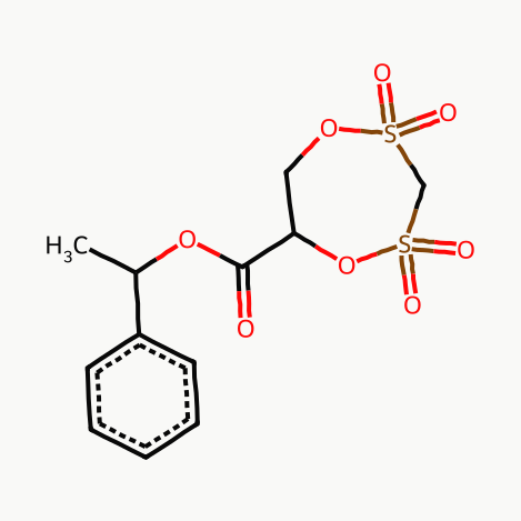 CC(OC(=O)C1COS(=O)(=O)CS(=O)(=O)O1)c1ccccc1